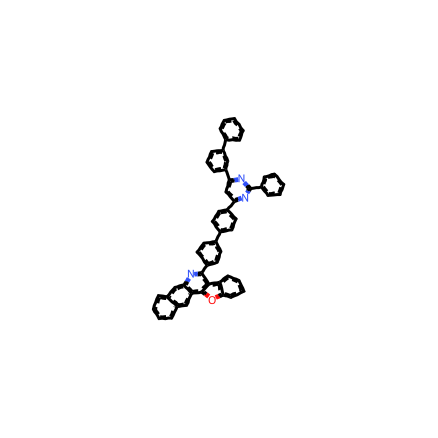 c1ccc(-c2cccc(-c3cc(-c4ccc(-c5ccc(-c6nc7cc8ccccc8cc7c7oc8ccccc8c67)cc5)cc4)nc(-c4ccccc4)n3)c2)cc1